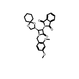 COc1ccc(CN2C(=O)[C@H](N3C(=O)c4ccccc4C3=O)C2[C@H]2COC3(CCCCC3)O2)c(OC)c1